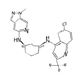 Cn1ncc2cc(N[C@@H]3CCC[C@H](Nc4cc(C(F)(F)F)nc5ccc(Cl)cc45)C3)ncc21